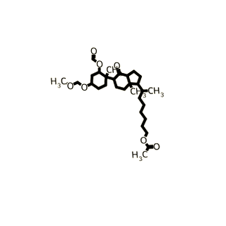 COCOC1CCC(C)(C2CCC3(C)C(CCC3C(C)CCCCCCOC(C)=O)C2=O)C(OC=O)C1